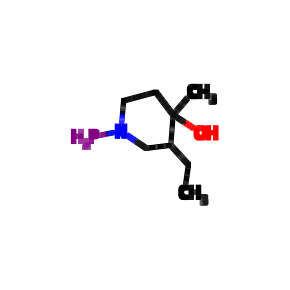 CCC1CN(P)CCC1(C)O